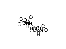 O=C(NC(CNCCCNC(=O)C(Cc1ccccc1)NC(=O)OC1c2ccccc2-c2ccccc21)Cc1ccccc1)OC1c2ccccc2-c2ccccc21